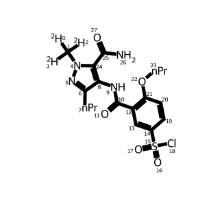 [2H]C([2H])([2H])n1nc(CCC)c(NC(=O)c2cc(S(=O)(=O)Cl)ccc2OCCC)c1C(N)=O